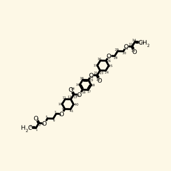 C=CC(=O)OCCCOC1CCC(C(=O)Oc2ccc(OC(=O)C3CCC(OCCCOC(=O)C=C)CC3)cc2)CC1